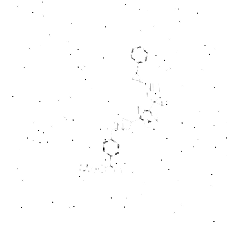 COC(=O)c1ccc(CN2CC(c3nc(C4(CN[C@H]5CC5c5ccccc5)CC4)no3)C2)cc1